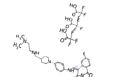 CN(C)CCNCC1CCN(c2ccc(N/C=C3\C(=O)NC(=O)c4ccc(I)cc43)cc2)CC1.O=C(O)C(F)(F)F.O=C(O)C(F)(F)F.O=C(O)C(F)(F)F